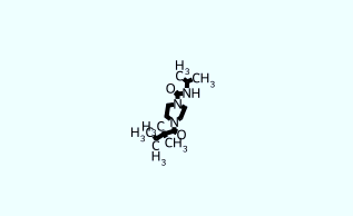 CC(C)NC(=O)N1CCN(C(=O)C(C)(C)C(C)C)CC1